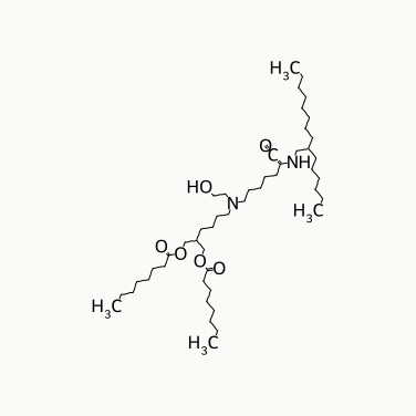 CCCCCCCCC(CCCCCC)CNC(=C=O)CCCCCN(CCO)CCCCC(COC(=O)CCCCCCC)COC(=O)CCCCCCC